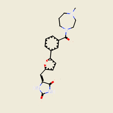 CN1CCCN(C(=O)c2cccc(-c3ccc(/C=C4/NC(=O)NC4=O)o3)c2)CC1